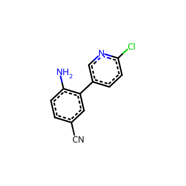 N#Cc1ccc(N)c(-c2ccc(Cl)nc2)c1